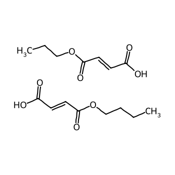 CCCCOC(=O)C=CC(=O)O.CCCOC(=O)C=CC(=O)O